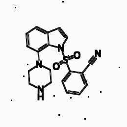 N#Cc1ccccc1S(=O)(=O)n1ccc2cccc(N3CCNCC3)c21